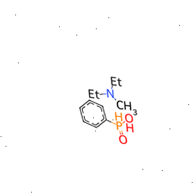 CCN(C)CC.O=[PH](O)c1ccccc1